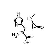 CNC1CC1=O.N[C@@H](Cc1c[nH]cn1)C(=O)O